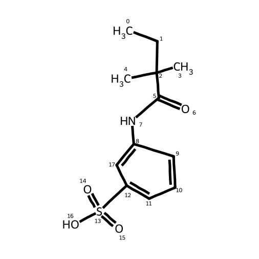 CCC(C)(C)C(=O)Nc1cccc(S(=O)(=O)O)c1